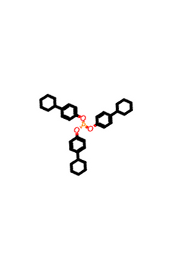 c1cc(C2CCCCC2)ccc1OP(Oc1ccc(C2CCCCC2)cc1)Oc1ccc(C2CCCCC2)cc1